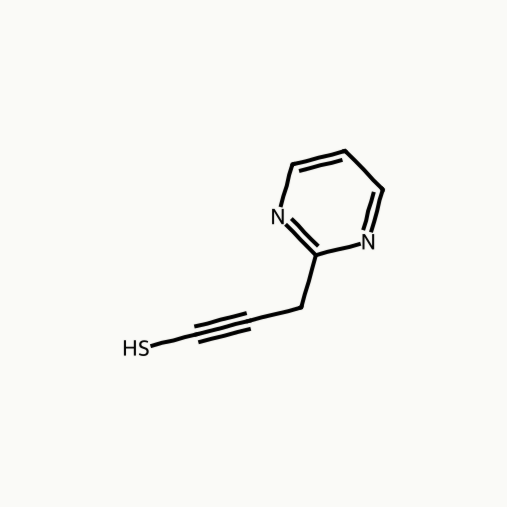 SC#CCc1ncccn1